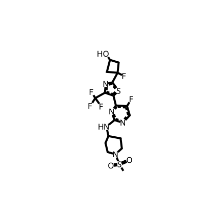 CS(=O)(=O)N1CCC(Nc2ncc(F)c(-c3sc(C4(F)CC(O)C4)nc3C(F)(F)F)n2)CC1